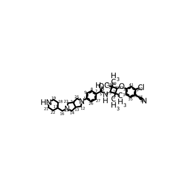 CC1(C)[C@H](NC(=O)c2ccc(N3CC4CN(CC5CCNCC5)CC4C3)cc2)C(C)(C)[C@H]1Oc1ccc(C#N)c(Cl)c1